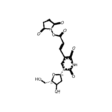 O=C(C=Cc1cn([C@@H]2CC(O)[C@H](CO)O2)c(=O)[nH]c1=O)ON1C(=O)CCC1=O